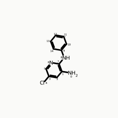 Nc1cc(Cl)cnc1Nc1c[c]ccc1